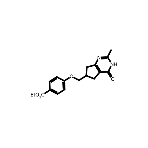 CCOC(=O)c1ccc(OCC2Cc3nc(C)[nH]c(=O)c3C2)cc1